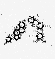 C[C@H]1O[C@@H](O[C@@H]2[C@@H](C)O[C@@H](O[C@@H]3[C@@H](C)O[C@@H](O[C@H]4CC[C@@]5(C)[C@H](CC[C@@H]6[C@@H]5CC[C@]5(C)[C@@H](C7=CC(=O)OC7)CC[C@]65O)C4)O[C@@H]3O)O[C@@H]2O)C[C@H](O)[C@@H]1O